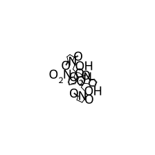 O=C(OC(CC(O)N1C(=O)CCC1=O)c1ccccc1[N+](=O)[O-])OC(CC(O)N1C(=O)CCC1=O)c1ccccc1[N+](=O)[O-]